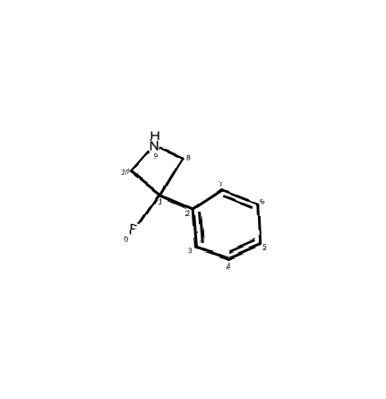 FC1(c2ccccc2)CNC1